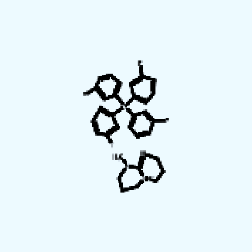 CN1CCC[NH+]2CCCN=C12.Fc1cccc([B-](c2cccc(F)c2)(c2cccc(F)c2)c2cccc(F)c2)c1